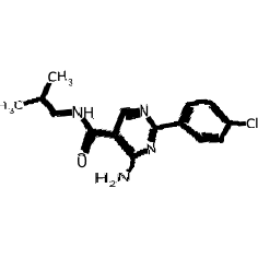 CC(C)CNC(=O)c1cnc(-c2ccc(Cl)cc2)nc1N